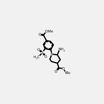 COC(=O)c1ccc(N2CCC(C(=O)OC(C)(C)C)CC2N)c(S(C)(=O)=O)c1